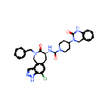 O=C(N[C@@H]1Cc2cc(Cl)c3[nH]ncc3c2CN(Cc2ccccc2)C1=O)N1CCC(N2Cc3ccccc3NC2=O)CC1